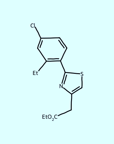 CCOC(=O)Cc1csc(-c2ccc(Cl)cc2CC)n1